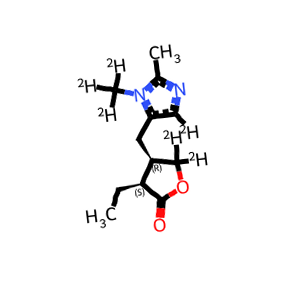 [2H]c1nc(C)n(C([2H])([2H])[2H])c1C[C@@H]1[C@H](CC)C(=O)OC1([2H])[2H]